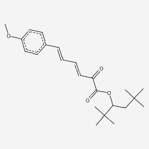 COc1ccc(/C=C/C=C/C(=O)C(=O)OC(CC(C)(C)C)C(C)(C)C)cc1